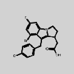 O=C(O)CC1CCn2c1c(Cc1ccc(Cl)cc1)c1c(Br)cc(F)cc12